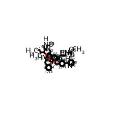 CCC(C)C(C(=O)NC(Cc1ccccc1)C(O)CN(Cc1ccc(-c2ccccn2)cc1)NC(=O)CC(C)(C)CNC(=O)OC)C1CNC(=O)N1Cc1ccnc2ccccc12